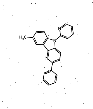 Cc1ccc2c(c1)c1nc(-c3ccccc3)ccc1n2-c1ccccn1